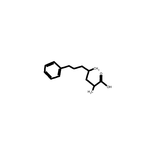 CC(CCCc1ccccc1)CC(C)C(=O)O